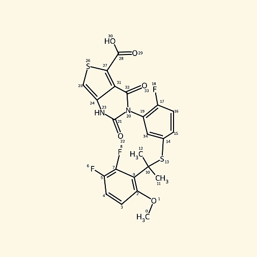 COc1ccc(F)c(F)c1C(C)(C)Sc1ccc(F)c(-n2c(=O)[nH]c3csc(C(=O)O)c3c2=O)c1